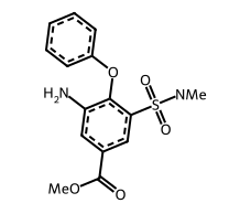 CNS(=O)(=O)c1cc(C(=O)OC)cc(N)c1Oc1ccccc1